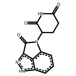 O=C1CCC(N2C(=O)c3n[nH]c4cccc2c34)C(=O)N1